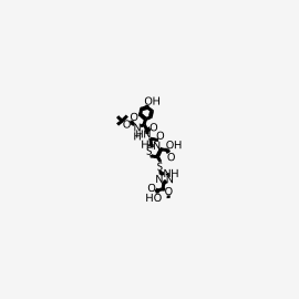 COC(C(=O)O)c1n[nH]c(SCC2=C(C(=O)O)N3C(=O)C(NC(=O)C(NC(=O)OC(C)(C)C)c4ccc(O)cc4)[C@@H]3SC2)n1